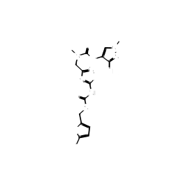 CN(Cc1nsc(NC(=O)NCc2ccc(Cl)s2)n1)C(=O)Oc1cn(C)nc1C(F)(F)F